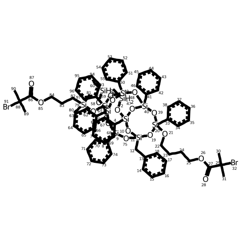 C[SiH2]O[Si]1(c2ccccc2)O[Si]2(Cc3ccccc3)O[Si](OCCCCOC(=O)C(C)(C)Br)(c3ccccc3)O[Si](c3ccccc3)(O1)O[Si]1(c3ccccc3)O[Si](O[SiH2]C)(c3ccccc3)O[Si](c3ccccc3)(O2)O[Si](O[Si](C)(C)CCCOC(=O)C(C)(C)Br)(c2ccccc2)O1